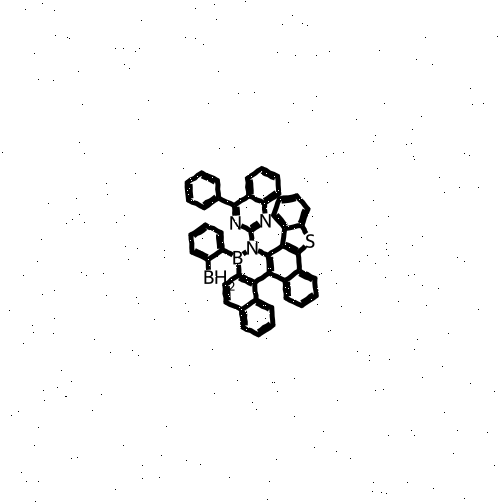 Bc1ccccc1B1c2ccc3ccccc3c2-c2c(c3c4ccccc4sc3c3ccccc23)N1c1nc(-c2ccccc2)c2ccccc2n1